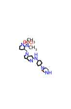 CN(c1ncccc1Cn1ccc2cnc(Nc3ccc(N4CC5CC4CN5)cc3)cc21)S(C)(=O)=O